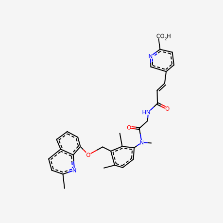 Cc1ccc2cccc(OCc3c(C)ccc(N(C)C(=O)CNC(=O)C=Cc4ccc(C(=O)O)nc4)c3C)c2n1